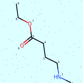 [CH2]NCCCC(=O)OCC